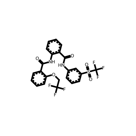 O=C(Nc1cccc(S(=O)(=O)C(F)(F)F)c1)c1ccccc1NC(=O)c1ccccc1OCC(F)(F)F